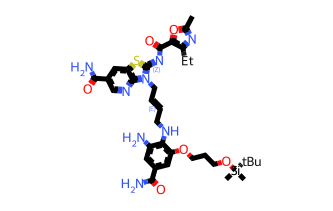 CCc1nc(C)oc1C(=O)/N=c1\sc2cc(C(N)=O)cnc2n1C/C=C/CNc1c(N)cc(C(N)=O)cc1OCCCO[Si](C)(C)C(C)(C)C